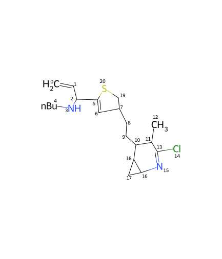 C=CC(NCCCC)C1=CC(CCC2C(C)C(Cl)=NC3CC32)CS1